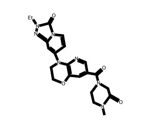 CCn1nc2cc(N3CCOc4cc(C(=O)N5CCN(C)C(=O)C5)cnc43)ccn2c1=O